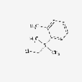 Cc1ccccc1[Si](C)(CCl)C(F)(F)F